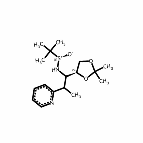 CC(c1ccccn1)C(N[S@+]([O-])C(C)(C)C)[C@H]1COC(C)(C)O1